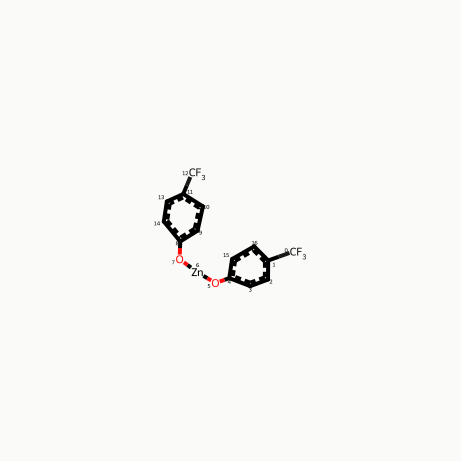 FC(F)(F)c1ccc([O][Zn][O]c2ccc(C(F)(F)F)cc2)cc1